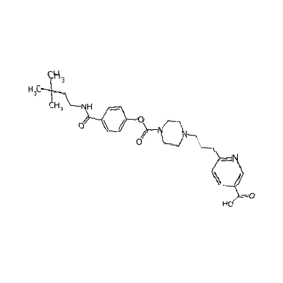 CC(C)(C)CCNC(=O)c1ccc(OC(=O)N2CCN(CCCc3ccc(C(=O)O)cn3)CC2)cc1